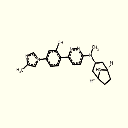 Cc1cn(-c2ccc(-c3ccc(N(C)[C@H]4C[C@H]5CC[C@@H](C4)N5)nn3)c(O)c2)cn1